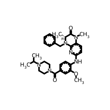 COc1cc(C(=O)N2CCN(C(C)C)CC2)ccc1Nc1ccc2c(n1)N(Cc1ccccc1)[C@H](C)C(=O)N2C